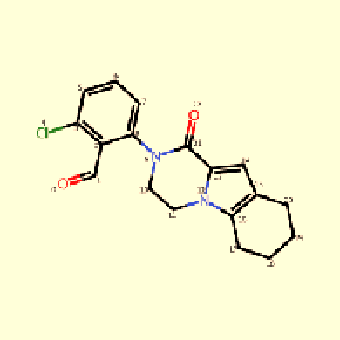 O=Cc1c(Cl)cccc1N1CCn2c(cc3c2CCCC3)C1=O